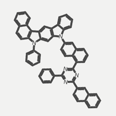 c1ccc(-c2nc(-c3ccc4ccccc4c3)nc(-c3cccc4cc(-n5c6ccccc6c6cc7c8c9ccccc9ccc8n(-c8ccccc8)c7cc65)ccc34)n2)cc1